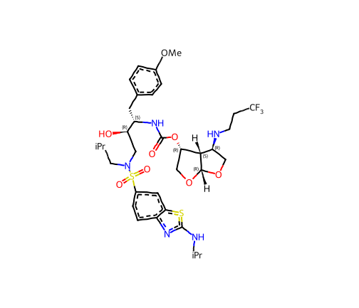 COc1ccc(C[C@H](NC(=O)O[C@H]2CO[C@H]3OC[C@H](NCCC(F)(F)F)[C@H]32)[C@H](O)CN(CC(C)C)S(=O)(=O)c2ccc3nc(NC(C)C)sc3c2)cc1